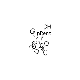 CCCCC[C@@H](C=C[C@@H]1[C@@H](CC=CCCCCO)[C@@H](O[Si](Cc2ccccc2)(Cc2ccccc2)Cc2ccccc2)C[C@H]1OC1CCCCO1)OC1CCCCO1